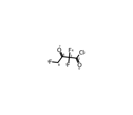 O=C(Cl)C(F)(F)C(=O)CF